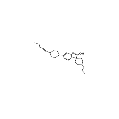 CCC/C=C/C1CCC(c2ccc(C3(C(=O)O)CCC(CCC)CC3)cc2)CC1